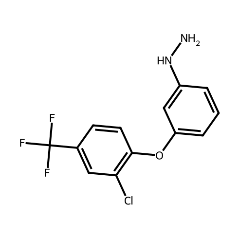 NNc1cccc(Oc2ccc(C(F)(F)F)cc2Cl)c1